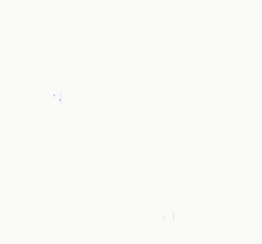 Cc1ccsc1C(C)N(C)C.Cl.c1ccccc1